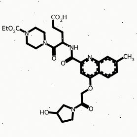 CCOC(=O)N1CCN(C(=O)C(CCC(=O)O)NC(=O)c2cc(OCC(=O)N3CCC(O)C3)c3ccc(C)cc3n2)CC1